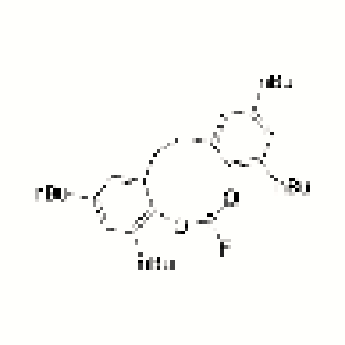 CCCCc1cc(CCCC)c2c(c1)CCc1cc(CCCC)cc(CCCC)c1OP(F)O2